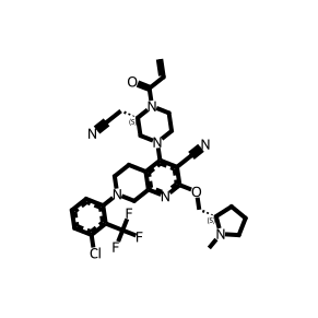 C=CC(=O)N1CCN(c2c(C#N)c(OC[C@@H]3CCCN3C)nc3c2CCN(c2cccc(Cl)c2C(F)(F)F)C3)C[C@@H]1CC#N